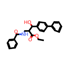 CCOC(=O)C(CNC(=O)c1ccccc1)C(O)c1ccc(-c2ccccc2)cc1